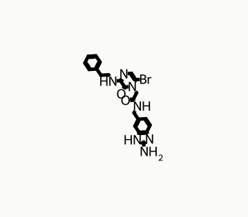 Nc1nc2ccc(CNC(=O)Cn3c(Br)cnc(NCCc4ccccc4)c3=O)cc2[nH]1